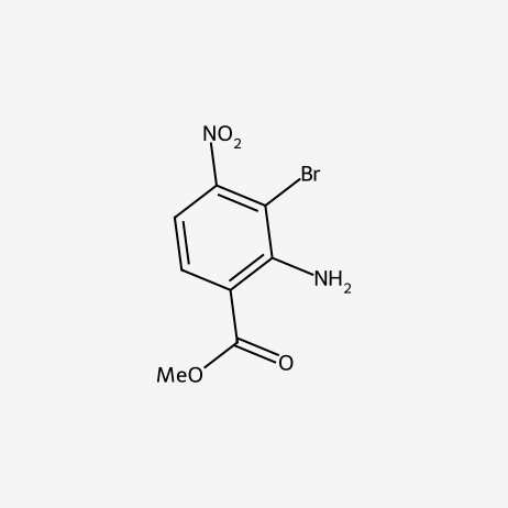 COC(=O)c1ccc([N+](=O)[O-])c(Br)c1N